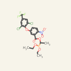 CCOP(OCC)C(C)OC(=O)c1cc(Oc2c(Cl)cc(C(F)(F)F)cc2Cl)ccc1[N+](=O)[O-]